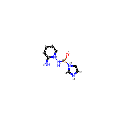 N=c1ccccn1N[S+]([O-])n1ccnc1